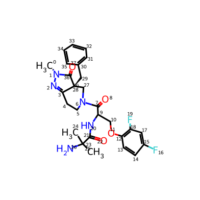 CN1N=C2CCN(C(=O)C(COc3ccc(F)cc3F)NC(=O)C(C)(C)N)C[C@@]2(Cc2ccccc2)C1=O